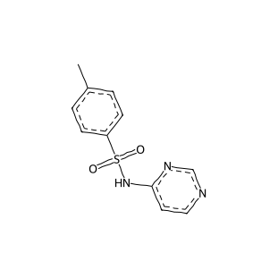 Cc1ccc(S(=O)(=O)Nc2ccncn2)cc1